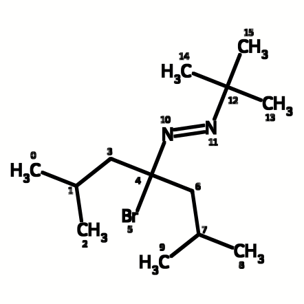 CC(C)CC(Br)(CC(C)C)N=NC(C)(C)C